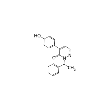 CC(c1ccccc1)n1nccc(-c2ccc(O)cc2)c1=O